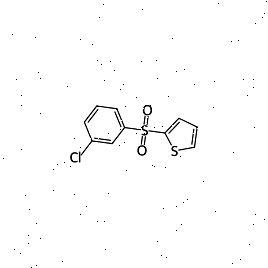 O=S(=O)(c1cccc(Cl)c1)c1cccs1